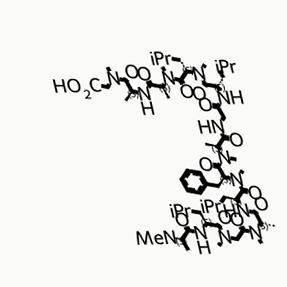 CN[C@@H](C)C(=O)N[C@@H](CC(C)C)C(=O)N(C)CC(=O)N(C)[C@@H](C)C(=O)N[C@@H](CC(C)C)C(=O)N(C)[C@@H](Cc1ccccc1)C(=O)N(C)[C@@H](C)C(=O)NCC(=O)N[C@@H](CC(C)C)C(=O)N(C)[C@@H](CC(C)C)C(=O)N(C)[C@@H](C)C(=O)N[C@@H](C)C(=O)N(C)CC(=O)O